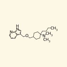 CCCCC1(N(C)C)CCC(COCc2c[nH]c3ncccc23)CC1